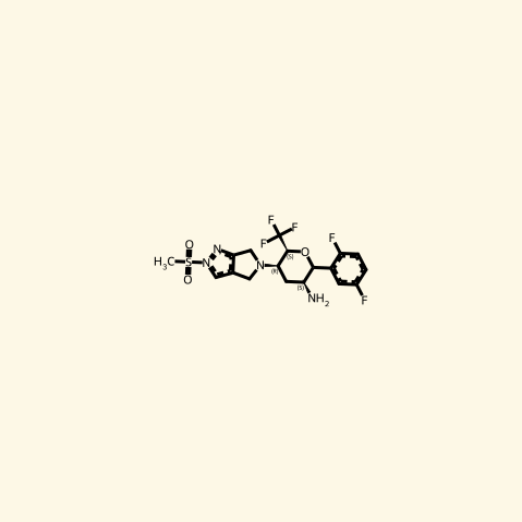 CS(=O)(=O)n1cc2c(n1)CN([C@@H]1C[C@H](N)C(c3cc(F)ccc3F)O[C@@H]1C(F)(F)F)C2